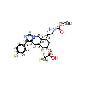 CC(C)(C)OC(=O)NCC[C@H]1CCCC2=Cc3c(-c4ccc(F)cc4)ncn3C[C@@]21C.O=C(O)C(F)(F)F